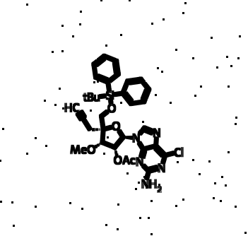 C#CC[C@]1(CO[Si](c2ccccc2)(c2ccccc2)C(C)(C)C)O[C@@H](n2cnc3c(Cl)nc(N)nc32)[C@H](OC(C)=O)[C@@H]1OC